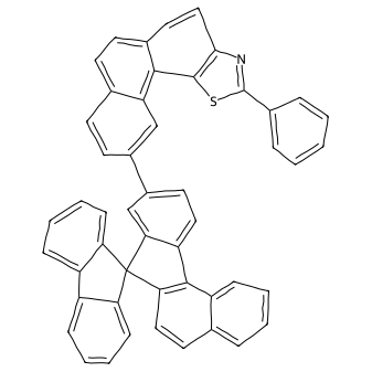 c1ccc(-c2nc3ccc4ccc5ccc(-c6ccc7c(c6)C6(c8ccccc8-c8ccccc86)c6ccc8ccccc8c6-7)cc5c4c3s2)cc1